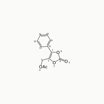 CC(=O)OCc1oc(=O)oc1-c1ccccc1